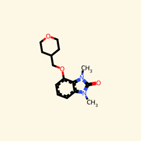 Cn1c(=O)n(C)c2c(OCC3CCOCC3)cccc21